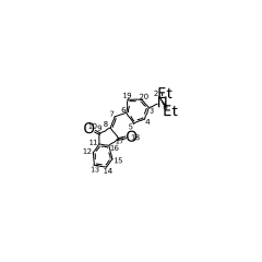 CCN(CC)c1ccc(C=C2C(=O)c3ccccc3C2=O)cc1